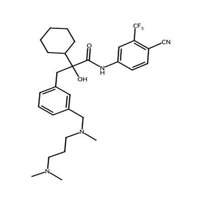 CN(C)CCCN(C)Cc1cccc(CC(O)(C(=O)Nc2ccc(C#N)c(C(F)(F)F)c2)C2CCCCC2)c1